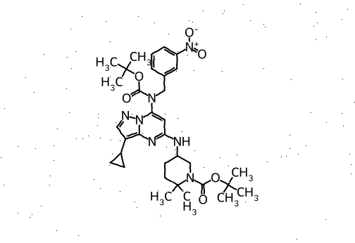 CC(C)(C)OC(=O)N(Cc1cccc([N+](=O)[O-])c1)c1cc(NC2CCC(C)(C)N(C(=O)OC(C)(C)C)C2)nc2c(C3CC3)cnn12